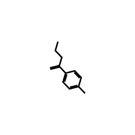 C=C(CCC)c1ccc(C)cc1